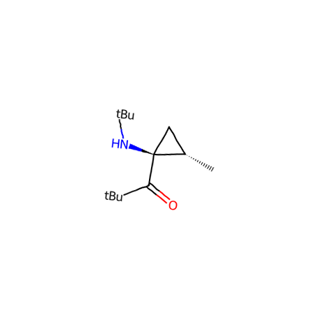 C[C@H]1C[C@@]1(NC(C)(C)C)C(=O)C(C)(C)C